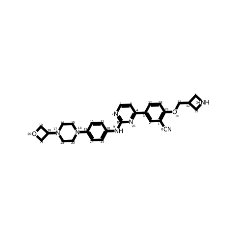 N#Cc1cc(-c2ccnc(Nc3ccc(N4CCN(C5COC5)CC4)cc3)n2)ccc1OCC1CNC1